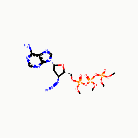 COP(=O)(OC)OP(=O)(OC)OP(=O)(OC)OC[C@H]1O[C@@H](n2cnc3c(N)ncnc32)CC1N=[N+]=[N-]